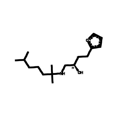 CC(C)CCCC(C)(C)NC[C@H](O)[CH]Cc1ccco1